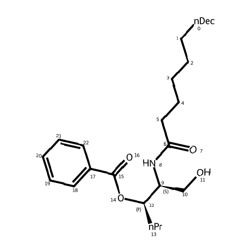 CCCCCCCCCCCCCCCC(=O)N[C@@H](CO)[C@@H](CCC)OC(=O)c1ccccc1